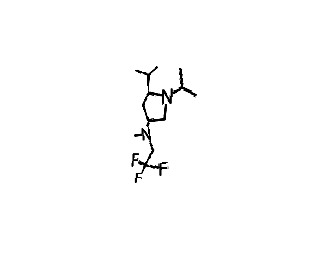 CC(C)[C@@H]1CC(N(C)CC(F)(F)F)CN1C(C)C